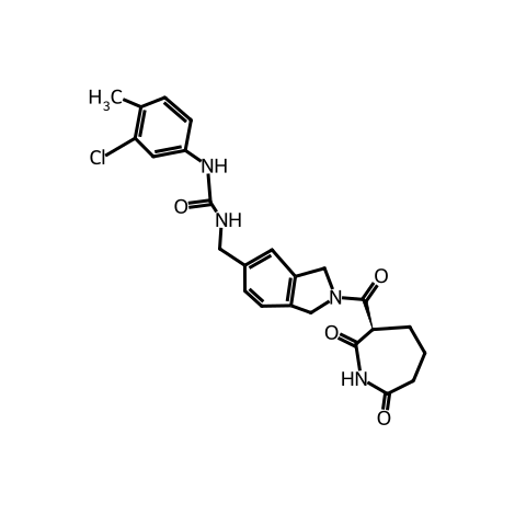 Cc1ccc(NC(=O)NCc2ccc3c(c2)CN(C(=O)[C@H]2CCCC(=O)NC2=O)C3)cc1Cl